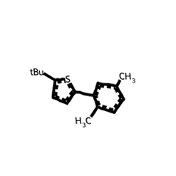 Cc1ccc(C)c(-c2ccc(C(C)(C)C)s2)c1